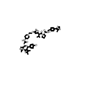 Cc1ncsc1-c1ccc(CNC(=O)[C@@H]2CCCN2C(=O)C(c2cc(OCCN3CCC(NC(=O)C[C@@H]4N=C(c5ccc(Cl)cc5)c5c(sc(C)c5C)-n5c(C)nnc54)CC3)no2)C(C)C)cc1